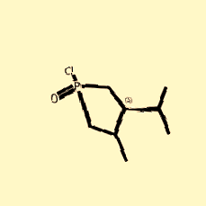 CC(C)[C@@H]1CP(=O)(Cl)CC1C